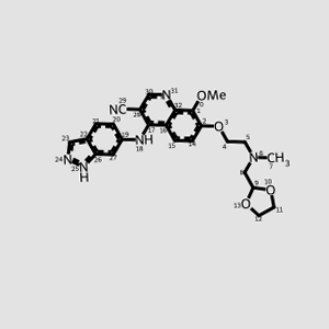 COc1c(OCCN(C)CC2OCCO2)ccc2c(Nc3ccc4cn[nH]c4c3)c(C#N)cnc12